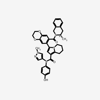 C[C@@H]1Cc2ccccc2CN1C(=O)c1cc2c(cc1-c1cc(C(=O)N(c3ccc(O)cc3)c3cnn(C)c3)c3n1CCCC3)OCCO2